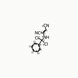 N#C/C=C(\C#N)NC(Cl)(Cl)c1ccccc1